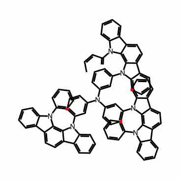 C=C(/C=C\C)n1c2ccccc2c2ccc3c4ccccc4n(-c4cccc(N(c5cccc(-n6c7ccccc7c7ccc8c9ccccc9n(-c9ccccc9)c8c76)c5)c5cccc(-n6c7ccccc7c7ccc8c9ccccc9n(-c9ccccc9)c8c76)c5)c4)c3c21